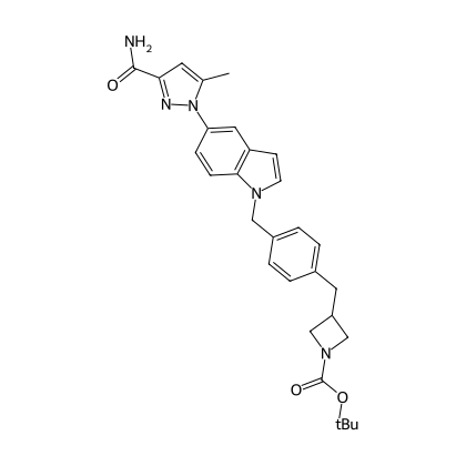 Cc1cc(C(N)=O)nn1-c1ccc2c(ccn2Cc2ccc(CC3CN(C(=O)OC(C)(C)C)C3)cc2)c1